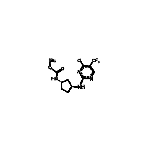 CC(C)(C)OC(=O)N[C@H]1CC[C@H](Nc2ncc(C(F)(F)F)c(Cl)n2)C1